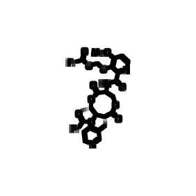 COc1ccnc(C(=O)N[C@H]2COC(=O)[C@H](Cc3cccnc3)[C@@H](OC(=O)C(C)C)[C@H](C)OC2=O)c1OCOC(=O)C(C)C